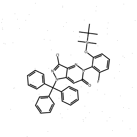 CC(C)(C)[Si](C)(C)Oc1cccc(F)c1-n1nc2c(Cl)nn(C(c3ccccc3)(c3ccccc3)c3ccccc3)c2cc1=O